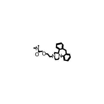 CN(C)C(=O)COCCN1CCN2c3ccccc3Cc3ccccc3C2C1